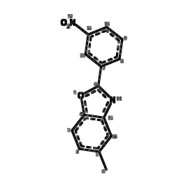 Cc1ccc2oc(-c3cccc([N+](=O)[O-])c3)nc2c1